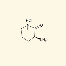 Cl.N[C@H]1CCCNC1=O